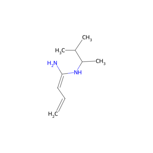 C=C/C=C(/N)NC(C)C(C)C